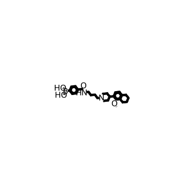 COc1c(C2CCN(CCCCNC(=O)c3ccc(B(O)O)cc3)CC2)ccc2c1CCCC2